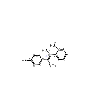 C/C(=C(/C)c1ccccc1C)c1ccc(F)cc1